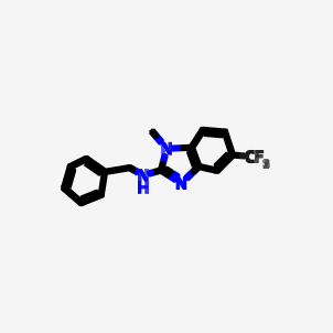 Cn1c(NCc2ccccc2)nc2cc(C(F)(F)F)ccc21